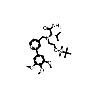 COc1cc(-c2cc(CN(CCO[Si](C)(C)C(C)(C)C)[C@H](C(N)=O)C(C)C)ccn2)cc(OC)c1OC